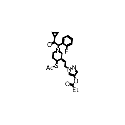 CCC(=O)Oc1cnn(C/C=C2/CN(C(C(=O)C3CC3)c3ccccc3F)CCC2SC(C)=O)c1